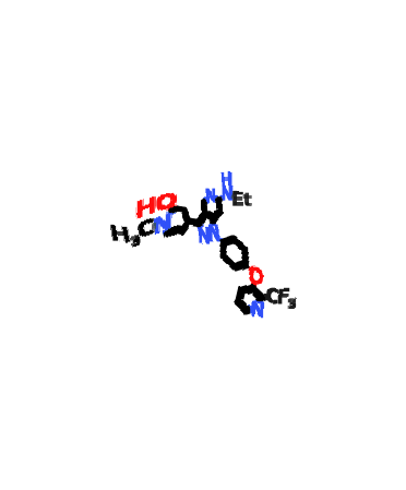 CCNc1cc2c(cn1)c(C1=CC(O)N(C)C=C1)nn2[C@H]1CC[C@@H](Oc2cccnc2C(F)(F)F)CC1